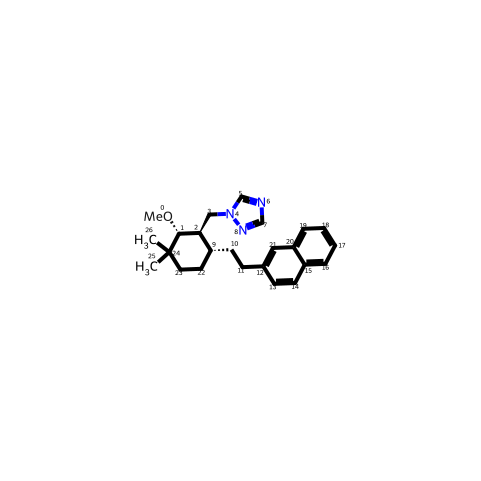 CO[C@@H]1[C@@H](Cn2cncn2)[C@H](CCc2ccc3ccccc3c2)CCC1(C)C